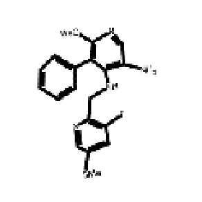 COc1ncc(N)c(NCc2ncc(SC)cc2F)c1-c1ccccc1